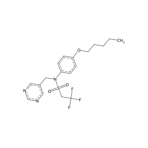 CCCCCOc1ccc(N(Cc2cncnc2)S(=O)(=O)CC(F)(F)F)cc1